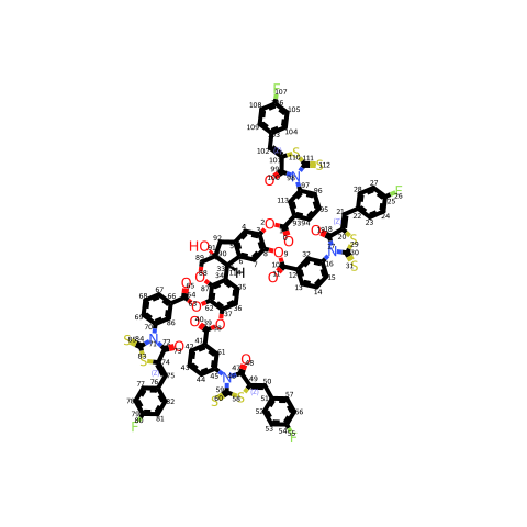 O=C(Oc1cc2c(cc1OC(=O)c1cccc(N3C(=O)/C(=C/c4ccc(F)cc4)SC3=S)c1)[C@@H]1c3ccc(OC(=O)c4cccc(N5C(=O)/C(=C/c6ccc(F)cc6)SC5=S)c4)c(OC(=O)c4cccc(N5C(=O)/C(=C/c6ccc(F)cc6)SC5=S)c4)c3OC[C@]1(O)C2)c1cccc(N2C(=O)/C(=C/c3ccc(F)cc3)SC2=S)c1